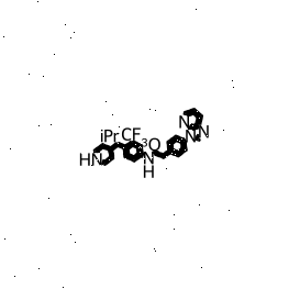 CC(C)C(c1ccc(NC(=O)Cc2ccc(-n3cnc4cccnc43)cc2)cc1C(F)(F)F)C1CCNCC1